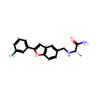 C[C@H](NCc1ccc2oc(-c3cccc(Cl)c3)cc2c1)C(N)=O